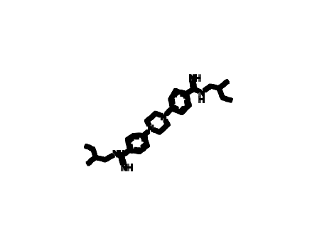 CCC(C)CNC(=N)c1ccc(N2CCN(c3ccc(C(=N)NCC(C)CC)cc3)CC2)cc1